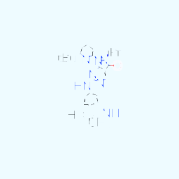 CC(C)n1c(=O)c2cnc(Nc3ccc4c(c3)CNCC4(C)C)nc2n1-c1cccc(C(C)(C)C)n1